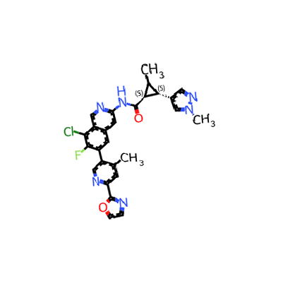 Cc1cc(-c2ncco2)ncc1-c1cc2cc(NC(=O)[C@H]3C(C)[C@@H]3c3cnn(C)c3)ncc2c(Cl)c1F